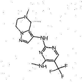 CNc1nc(Nc2cnn3c2[C@@H](C)N(C)CC3)ncc1C(F)(F)F